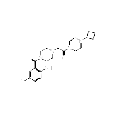 Nc1ccc(Cl)cc1C(=O)N1CCN(CC(=O)N2CCN(C3CCC3)CC2)CC1